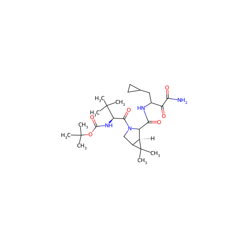 CC(C)(C)OC(=O)N[C@H](C(=O)N1CC2[C@@H](C1C(=O)NC(CC1CC1)C(=O)C(N)=O)C2(C)C)C(C)(C)C